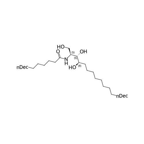 CCCCCCCCCCCCCCCCCC[C@@H](O)[C@@H](O)[C@H](CO)NC(=O)CCCCCCCCCCCCCCC